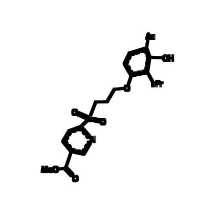 CCCc1c(OCCCS(=O)(=O)c2ccc(C(=O)OC)cn2)ccc(C(C)=O)c1O